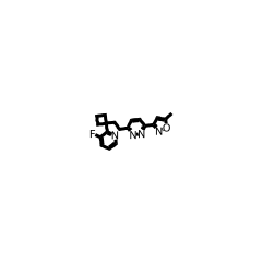 Cc1cc(-c2ccc(CCC3(c4ncccc4F)CCC3)nn2)no1